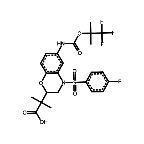 CC(C)(C(=O)O)C1CN(S(=O)(=O)c2ccc(F)cc2)c2cc(NC(=O)OC(C)(C)C(F)(F)F)ccc2O1